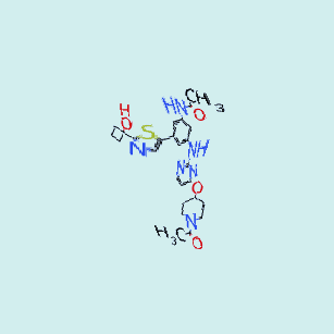 CC(=O)Nc1cc(Nc2nccc(OC3CCN(C(C)=O)CC3)n2)cc(-c2cnc(C3(O)CCC3)s2)c1